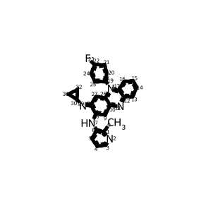 Cc1ncccc1Nc1cc2nc3ccccc3n(-c3ccc(F)cc3)c-2c/c1=N\C1CC1